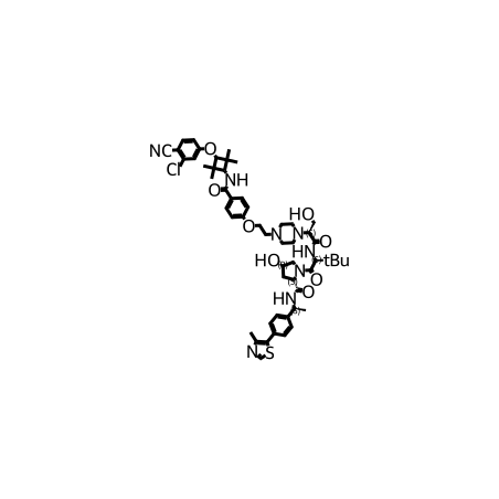 Cc1ncsc1-c1ccc([C@H](C)NC(=O)[C@@H]2C[C@@H](O)CN2C(=O)[C@@H](NC(=O)[C@H](CO)N2CCN(CCOc3ccc(C(=O)NC4C(C)(C)C(Oc5ccc(C#N)c(Cl)c5)C4(C)C)cc3)CC2)C(C)(C)C)cc1